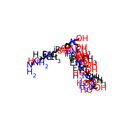 CC(C)NC(C)O.CC(C)O.CC(C)O.CC(C)O.CC(C)O.CC(N)(CO)CO.CCN(CC)CC(C)O.CCN(CC)CCCO.CCN(CC)CCO.CN(C)CCCO.CN(C)CCO.NC(CO)(CO)CO.NCCN.OCCN(CCO)Cc1ccccc1